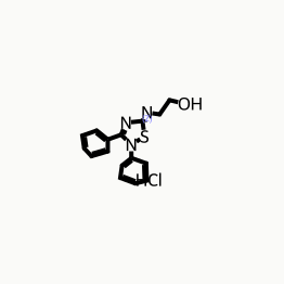 Cl.OCC/N=c1/nc(-c2ccccc2)n(-c2ccccc2)s1